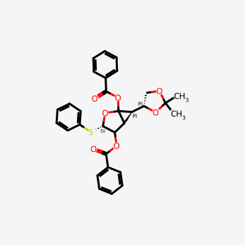 CC1(C)OC[C@@H]([C@H]2C3C(OC(=O)c4ccccc4)[C@H](Sc4ccccc4)OC32OC(=O)c2ccccc2)O1